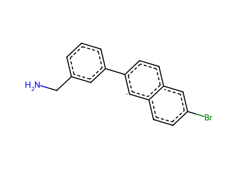 NCc1cccc(-c2[c]c3ccc(Br)cc3cc2)c1